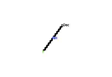 CCCCCCCCCCCCCCCCCCCCNCCCCCCCCCCCF